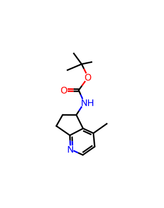 Cc1ccnc2c1C(NC(=O)OC(C)(C)C)CC2